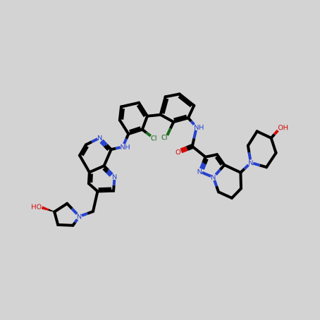 O=C(Nc1cccc(-c2cccc(Nc3nccc4cc(CN5CC[C@@H](O)C5)cnc34)c2Cl)c1Cl)c1cc2n(n1)CCCC2N1CCC(O)CC1